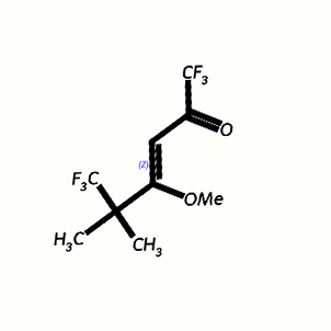 CO/C(=C\C(=O)C(F)(F)F)C(C)(C)C(F)(F)F